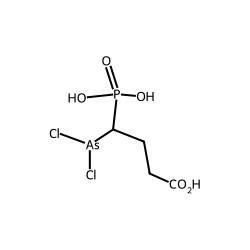 O=C(O)CCC([As](Cl)Cl)P(=O)(O)O